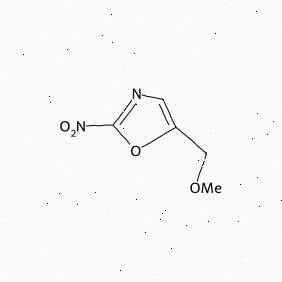 COCc1cnc([N+](=O)[O-])o1